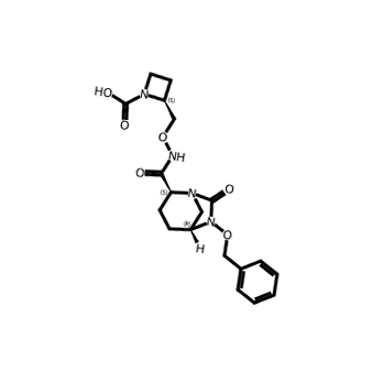 O=C(NOC[C@@H]1CCN1C(=O)O)[C@@H]1CC[C@@H]2CN1C(=O)N2OCc1ccccc1